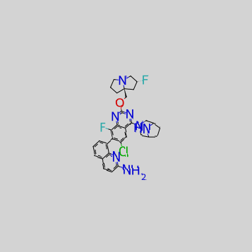 Nc1ccc2cccc(-c3c(Cl)cc4c(N5CC6CCC(C5)N6)nc(OC[C@@]56CCCN5C[C@H](F)C6)nc4c3F)c2n1